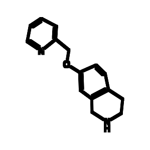 c1ccc(COc2ccc3c(c2)CNCC3)nc1